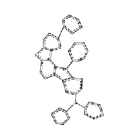 c1ccc(-c2ccc3sc4ccc5c6cc(N(c7ccccc7)c7ccccc7)ccc6n(-c6ccccc6)c5c4c3c2)cc1